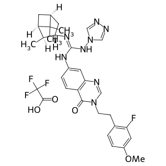 COc1ccc(CCn2cnc3cc(N/C(=N\[C@H]4C[C@@H]5C[C@H]([C@@H]4C)C5(C)C)Nn4cnnc4)ccc3c2=O)c(F)c1.O=C(O)C(F)(F)F